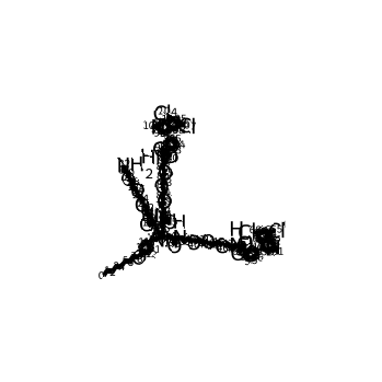 CCCCCCCCOc1ccc(CNC(CCC(=O)NCCOCCOCCOCCN)(CCC(=O)NCCOCCOCCOCCNS(=O)(=O)c2cccc([C@@H]3CN(C)Cc4c(Cl)cc(Cl)cc43)c2)CCC(=O)NCCOCCOCCOCCNS(=O)(=O)c2cccc([C@@H]3CN(C)Cc4c(Cl)cc(Cl)cc43)c2)cc1